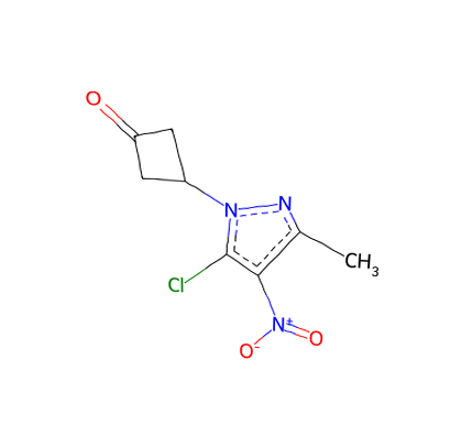 Cc1nn(C2CC(=O)C2)c(Cl)c1[N+](=O)[O-]